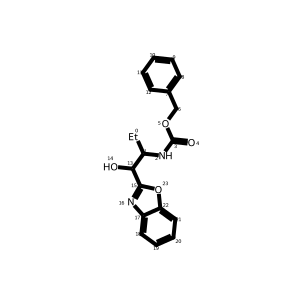 CCC(NC(=O)OCc1ccccc1)C(O)c1nc2ccccc2o1